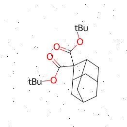 CC(C)(C)OC(=O)C1(C(=O)OC(C)(C)C)C2CC3CC(C2)CC1C3